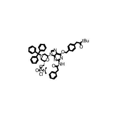 CN(C)P(=O)(Cl)OC[C@@H]1CN(C(c2ccccc2)(c2ccccc2)c2ccccc2)C[C@H](n2cnc3c(OCc4ccc(CC(=O)C(C)(C)C)cc4)nc(NC(=O)Cc4ccccc4)nc32)O1